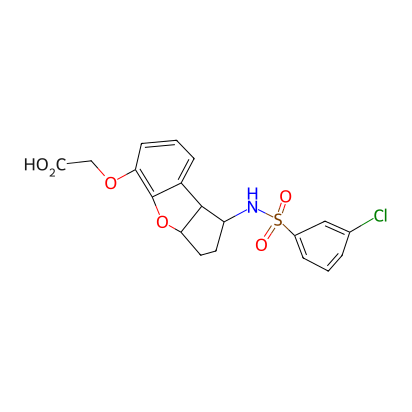 O=C(O)COc1cccc2c1OC1CCC(NS(=O)(=O)c3cccc(Cl)c3)C21